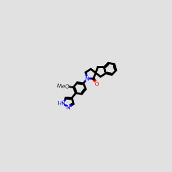 COc1cc(N2CCC3(Cc4ccccc4C3)C2=O)ccc1-c1cn[nH]c1